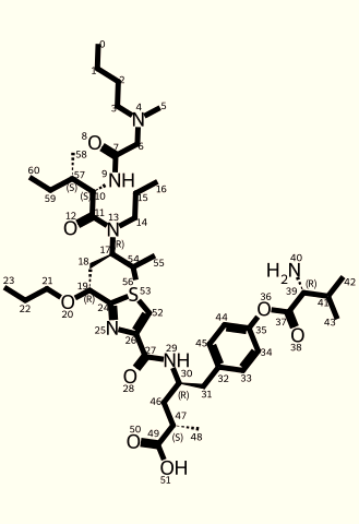 CCCCN(C)CC(=O)N[C@H](C(=O)N(CCC)[C@H](C[C@@H](OCCC)c1nc(C(=O)N[C@@H](Cc2ccc(OC(=O)[C@H](N)C(C)C)cc2)C[C@H](C)C(=O)O)cs1)C(C)C)[C@@H](C)CC